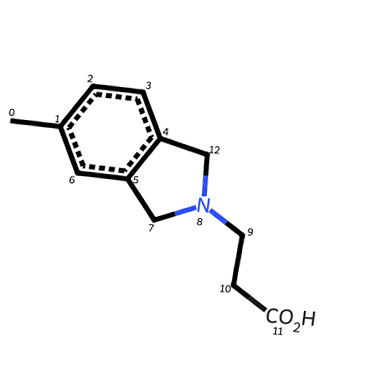 Cc1ccc2c(c1)CN(CCC(=O)O)C2